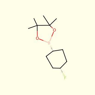 CC1(C)OB([C@H]2CC[C@@H](F)CC2)OC1(C)C